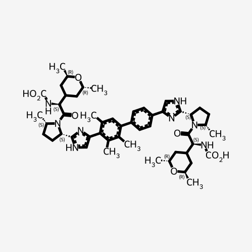 Cc1cc(-c2ccc(-c3c[nH]c([C@@H]4CC[C@H](C)N4C(=O)[C@@H](NC(=O)O)C4C[C@@H](C)O[C@H](C)C4)n3)cc2)c(C)c(C)c1-c1c[nH]c([C@@H]2CC[C@H](C)N2C(=O)[C@@H](NC(=O)O)C2C[C@@H](C)O[C@H](C)C2)n1